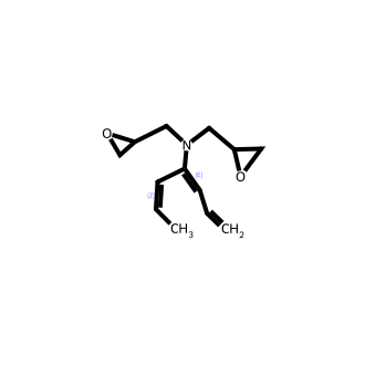 C=C/C=C(\C=C/C)N(CC1CO1)CC1CO1